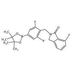 CC1(C)OB(c2cc(F)c(CN3Cc4cccc(F)c4C3=O)c(F)c2)OC1(C)C